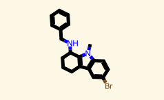 Cn1c2c(c3cc(Br)ccc31)CCCC2NCc1ccccc1